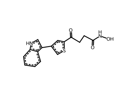 O=C(CCC(=O)c1cc(-c2c[nH]c3ccccc23)cs1)NO